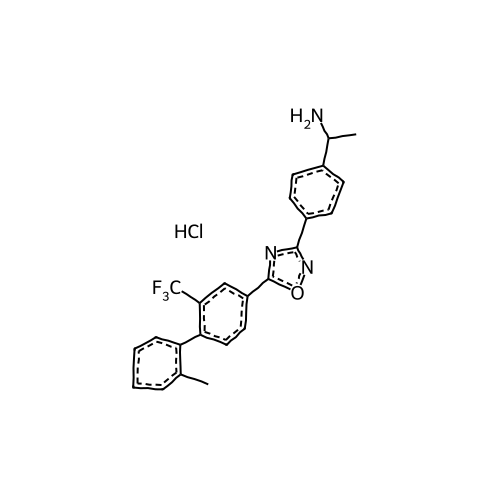 Cc1ccccc1-c1ccc(-c2nc(-c3ccc(C(C)N)cc3)no2)cc1C(F)(F)F.Cl